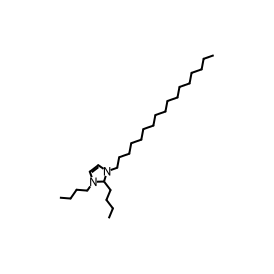 CCCCCCCCCCCCCCCCCN1C=CN(CCCC)C1CCCC